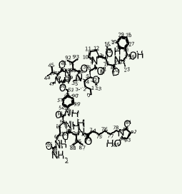 CC[C@H](C)[C@@H]([C@@H](CC(=O)N1CCC[C@H]1[C@H](OC)[C@@H](C)C(=O)N[C@H](C)[C@@H](O)c1ccccc1)OC)N(C)C(=O)[C@@H](NC(=O)[C@H](C(C)C)N(C)C(=O)OCc1ccc(NC(=O)[C@H](CCCNC(N)=O)NC(=O)[C@@H](NC(=O)CCCCCN2C(=O)C=CC2O)C(C)C)cc1)C(C)C